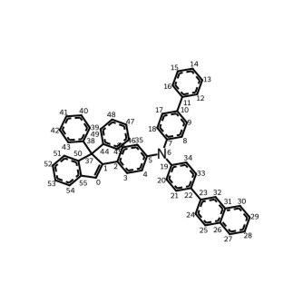 C1=C(c2ccc(N(c3ccc(-c4ccccc4)cc3)c3ccc(-c4ccc5ccccc5c4)cc3)cc2)C(c2ccccc2)(c2ccccc2)c2ccccc21